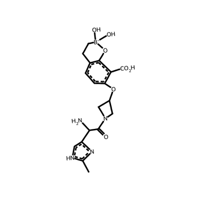 Cc1nc(C(N)C(=O)N2CC(Oc3ccc4c(c3C(=O)O)O[B-](O)(O)CC4)C2)c[nH]1